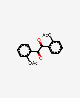 CC(=O)Oc1ccccc1C(=O)C(=O)c1ccccc1OC(C)=O